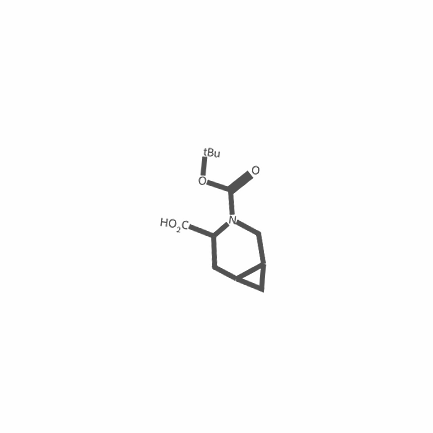 CC(C)(C)OC(=O)N1CC2CC2CC1C(=O)O